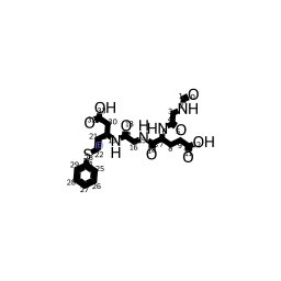 O=CNCC(=O)NC(CCC(=O)O)C(=O)NCC(=O)NC(/C=C/Sc1ccccc1)CC(=O)O